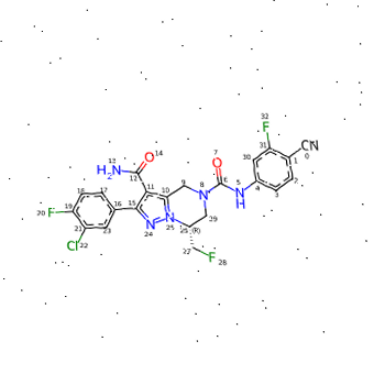 N#Cc1ccc(NC(=O)N2Cc3c(C(N)=O)c(-c4ccc(F)c(Cl)c4)nn3[C@@H](CF)C2)cc1F